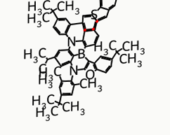 Cc1cc(C(C)(C)C)cc(C)c1N1c2cc(C(C)C)cc3c2B(c2ccc(-c4cc5ccccc5s4)cc2N3c2ccc(C(C)(C)C)cc2-c2ccccc2)c2c1oc1ccc(C(C)(C)C)cc21